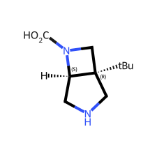 CC(C)(C)[C@]12CNC[C@H]1N(C(=O)O)C2